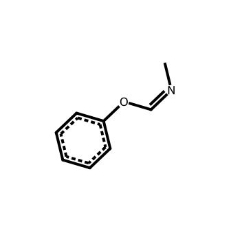 C/N=C\Oc1ccccc1